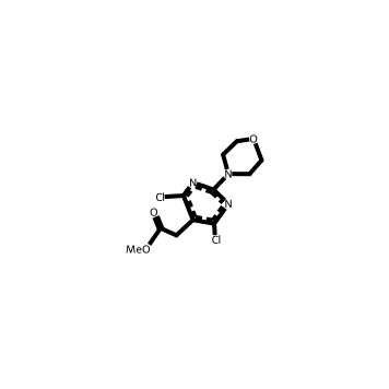 COC(=O)Cc1c(Cl)nc(N2CCOCC2)nc1Cl